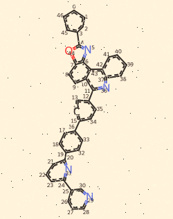 c1ccc(-c2nc3c(ccc4c(-c5ccc(-c6ccc(-c7cccc(-c8cccnc8)n7)cc6)cc5)nc5ccccc5c43)o2)cc1